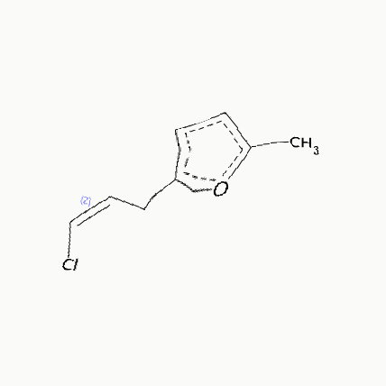 Cc1ccc(C/C=C\Cl)o1